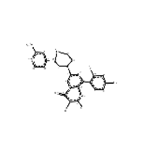 COc1cc([C@H]2C[C@H](c3cn4c(=O)c(F)c(C)nc4c(-c4ccc(F)cc4F)n3)CCO2)ccn1